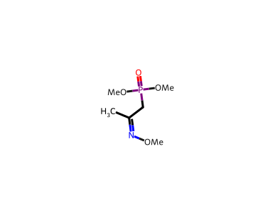 CON=C(C)CP(=O)(OC)OC